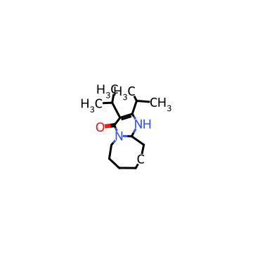 CC(C)C1=C(C(C)C)C(=O)N2CCCCCCC2N1